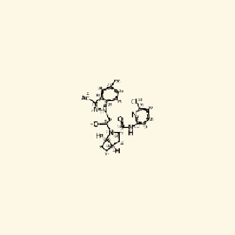 CC(=O)c1nn(CC(=O)N2[C@@H]3CC[C@@H]3C[C@H]2C(=O)Nc2cccc(Cl)n2)c2ccc(C)cc12